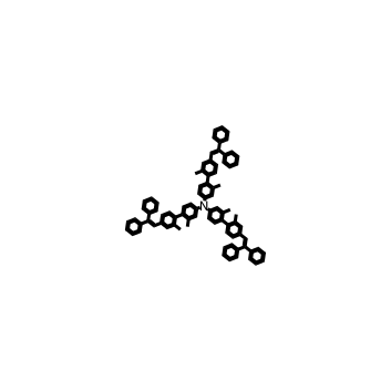 Cc1cc(C=C(c2ccccc2)c2ccccc2)ccc1-c1ccc(N(c2ccc(-c3ccc(C=C(c4ccccc4)c4ccccc4)cc3C)c(C)c2)c2ccc(-c3ccc(C=C(c4ccccc4)c4ccccc4)cc3C)c(C)c2)cc1C